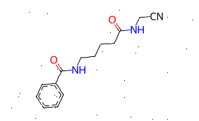 N#CCNC(=O)CCCCNC(=O)c1ccccc1